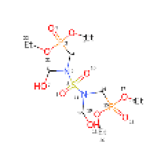 CCOP(=O)(CN(CO)S(=O)(=O)N(CO)CP(=O)(OCC)OCC)OCC